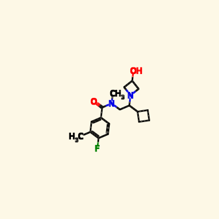 Cc1cc(C(=O)N(C)CC(C2CCC2)N2CC(O)C2)ccc1F